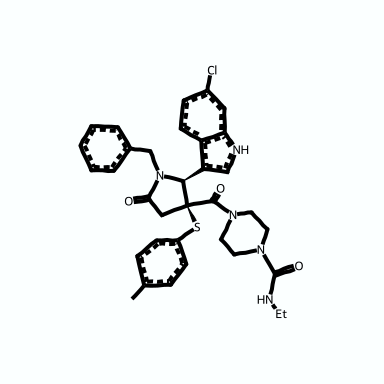 CCNC(=O)N1CCN(C(=O)[C@]2(Sc3ccc(C)cc3)CC(=O)N(Cc3ccccc3)[C@H]2c2c[nH]c3cc(Cl)ccc23)CC1